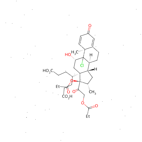 CCC(=O)OCC(=O)[C@@]1(OC(=O)CC)[C@@H](C)C[C@H]2[C@@H]3CCC4=CC(=O)C=C[C@]4(C)C3(Cl)[C@@H](O)C[C@@]21C(CCC(=O)O)CCC(=O)O